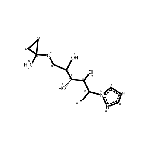 CC1(OCC(O)[C@@H](O)C(O)C(F)n2cccn2)CC1